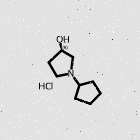 Cl.O[C@@H]1CCN(C2CCCC2)C1